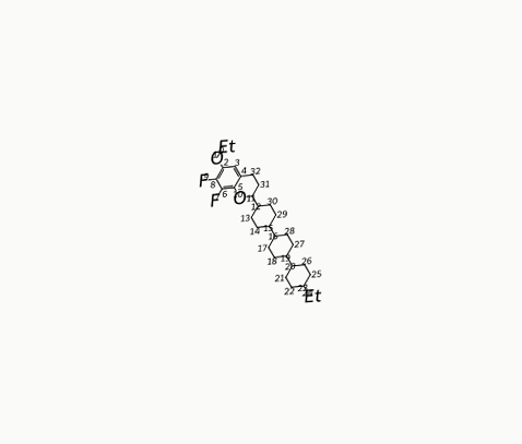 CCOc1cc2c(c(F)c1F)OC(C1CCC(C3CCC(C4CCC(CC)CC4)CC3)CC1)CC2